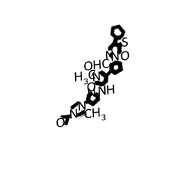 C[C@H]1CN(C2COC2)CCN1c1ccc(Nc2cc(-c3cccc(-n4ncc5c6c(sc5c4=O)CCCC6)c3C=O)cn(C)c2=O)nc1